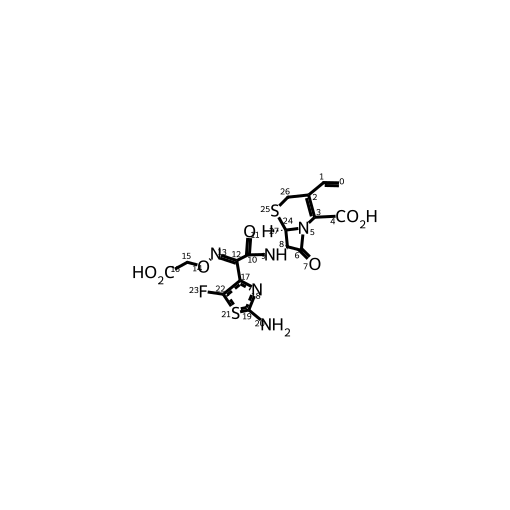 C=CC1=C(C(=O)O)N2C(=O)[C@@H](NC(=O)/C(=N/OCC(=O)O)c3nc(N)sc3F)[C@H]2SC1